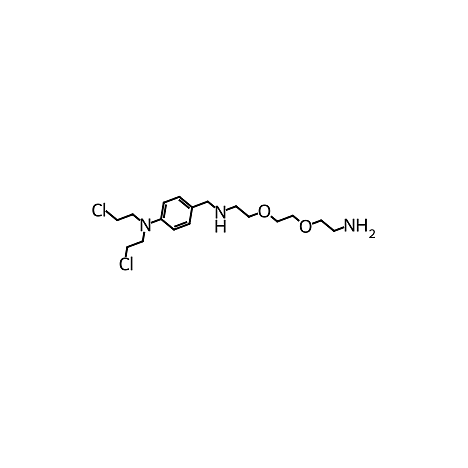 NCCOCCOCCNCc1ccc(N(CCCl)CCCl)cc1